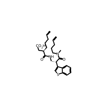 C=CCCC[C@H](CC(=O)O)C(=O)NC[C@H](C(=O)N(C)CCCC=C)c1csc2ccccc12